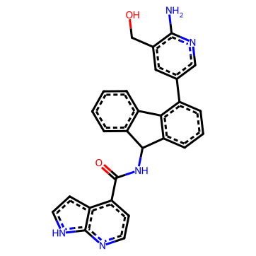 Nc1ncc(-c2cccc3c2-c2ccccc2C3NC(=O)c2ccnc3[nH]ccc23)cc1CO